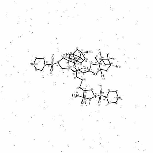 CC1(C)[C@H]2C[C@@H]3OB(CCC[C@H]4CN(S(=O)(=O)N5CCNCC5)C[C@]4(C)NC4(C)[C@H]5CC[C@](C)(OB(O)CCC[C@H]6CN(S(=O)(=O)N7CCNCC7)C[C@@]6(N)C(=O)O)[C@@H]4C5)O[C@]3(C)[C@@H]1C2